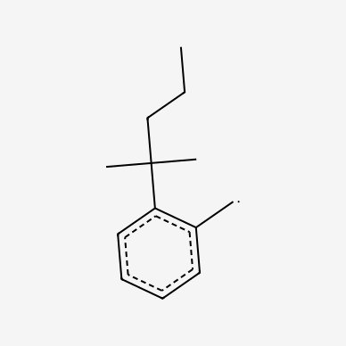 [CH2]c1ccccc1C(C)(C)CCC